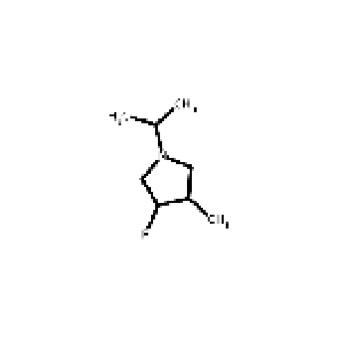 CC1CN(C(C)C)CC1F